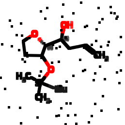 C=CC[C@H](O)[C@H]1OCCC1O[Si](C)(C)C(C)(C)C